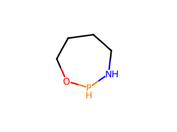 C1CCOPNC1